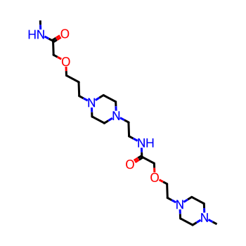 CNC(=O)COCCCN1CCN(CCNC(=O)COCCN2CCN(C)CC2)CC1